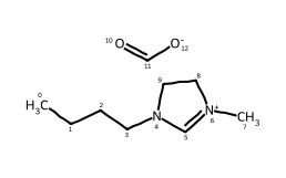 CCCCN1C=[N+](C)CC1.O=C[O-]